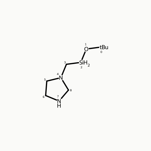 CC(C)(C)O[SiH2]CN1CCNC1